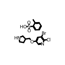 Cc1ccccc1S(=O)(=O)O.Clc1ncc(OCC2CCNC2)cc1Br